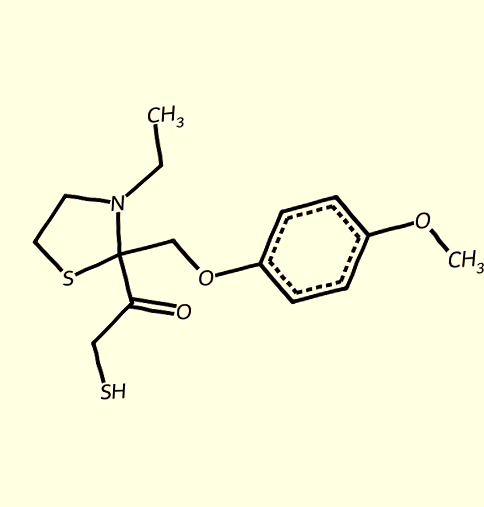 CCN1CCSC1(COc1ccc(OC)cc1)C(=O)CS